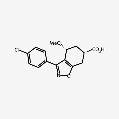 CO[C@@H]1C[C@H](C(=O)O)Cc2onc(-c3ccc(Cl)cc3)c21